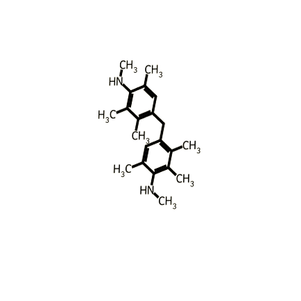 CNc1c(C)cc(Cc2cc(C)c(NC)c(C)c2C)c(C)c1C